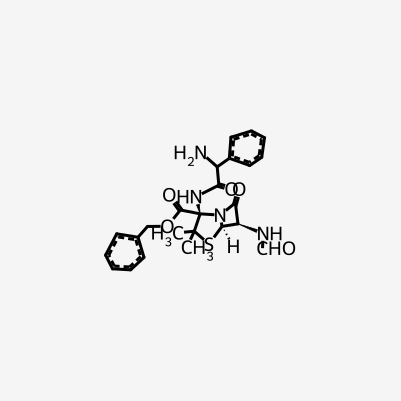 CC1(C)S[C@@H]2[C@H](NC=O)C(=O)N2[C@@]1(NC(=O)C(N)c1ccccc1)C(=O)OCc1ccccc1